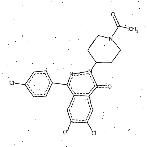 CC(=O)N1CCC(n2nc(-c3ccc(Cl)cc3)c3cc(Cl)c(Cl)cc3c2=O)CC1